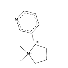 C[N+]1(C)CCC[C@H]1c1cccnc1